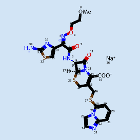 COCCO/N=C(\C(=O)N[C@@H]1C(=O)N2C(C(=O)[O-])=C(CSc3cccc4nccn34)CS[C@@H]12)c1csc(N)n1.[Na+]